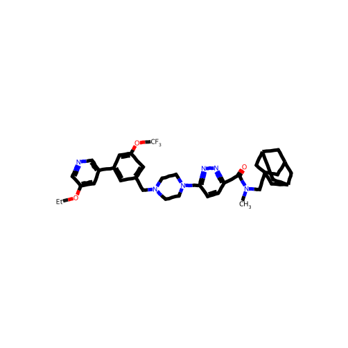 CCOc1cncc(-c2cc(CN3CCN(c4ccc(C(=O)N(C)CC56CC7CC(CC(C7)C5)C6)nn4)CC3)cc(OC(F)(F)F)c2)c1